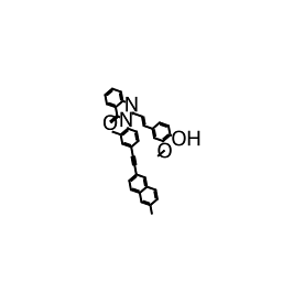 COc1cc(/C=C/c2nc3ccccc3c(=O)n2-c2ccc(C#Cc3ccc4cc(C)ccc4c3)cc2C)ccc1O